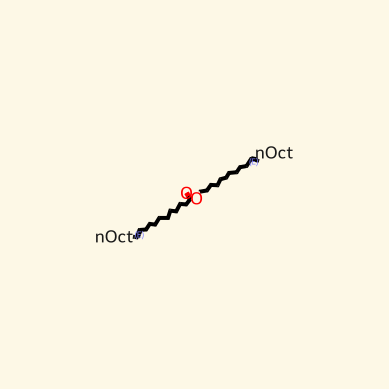 CCCCCCCC/C=C/CCCCCCCCCCOC(=O)CCCCCCCCC/C=C/CCCCCCCC